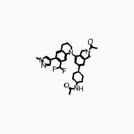 CC(=O)NC1CCC(c2cc3c(c(N4CCCc5cc(-c6cnn(C)c6)c(C(F)F)cc54)c2)CN(C(C)=O)C3)CC1